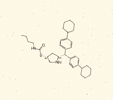 CCCCNC(=O)O[C@H]1CN[C@@H](C(c2ccc(C3CCCCC3)cc2)c2ccc(C3CCCCC3)cc2)C1